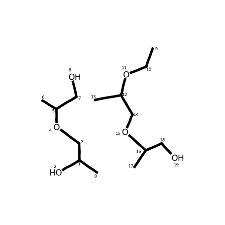 CC(O)COC(C)CO.CCOC(C)COC(C)CO